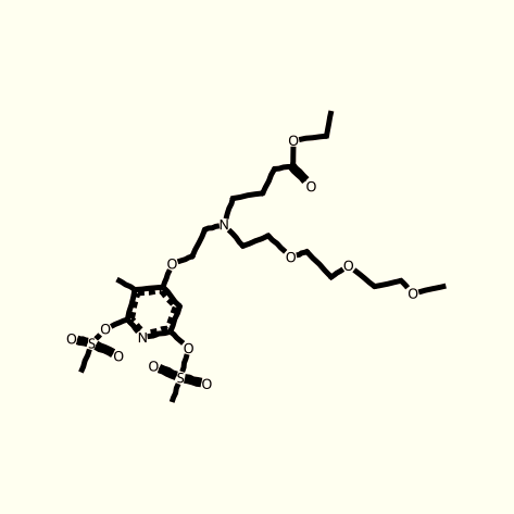 CCOC(=O)CCCN(CCOCCOCCOC)CCOc1cc(OS(C)(=O)=O)nc(OS(C)(=O)=O)c1C